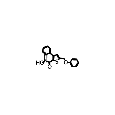 O=C(NO)c1sc(COc2ccccc2)cc1-c1ccccc1